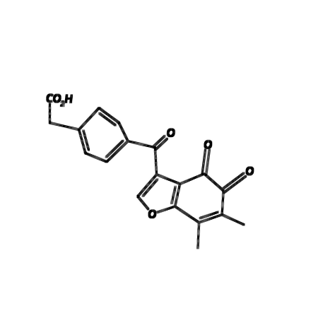 CC1=C(C)c2occ(C(=O)c3ccc(CC(=O)O)cc3)c2C(=O)C1=O